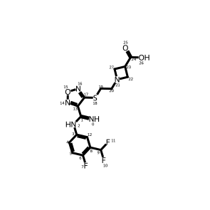 N=C(Nc1ccc(F)c(C(F)F)c1)c1nonc1SCCN1CC(C(=O)O)C1